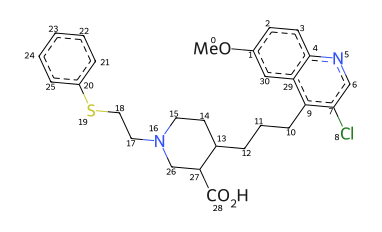 COc1ccc2ncc(Cl)c(CCCC3CCN(CCSc4ccccc4)CC3C(=O)O)c2c1